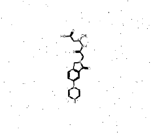 C[C@H](CC(=O)O)NC(=O)CN1Cc2ccc(N3CCNCC3)cc2C1=O